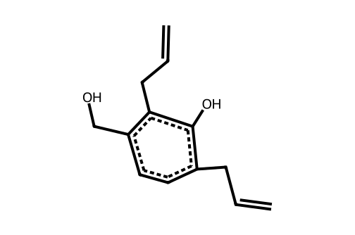 C=CCc1ccc(CO)c(CC=C)c1O